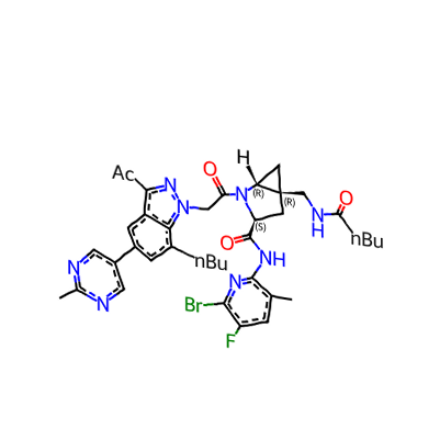 CCCCC(=O)NC[C@@]12C[C@@H](C(=O)Nc3nc(Br)c(F)cc3C)N(C(=O)Cn3nc(C(C)=O)c4cc(-c5cnc(C)nc5)cc(CCCC)c43)[C@@H]1C2